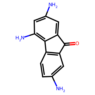 Nc1ccc2c(c1)C(=O)c1cc(N)cc(N)c1-2